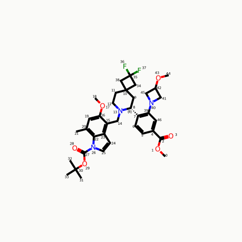 COC(=O)c1ccc([C@H]2CC3(CCN2Cc2c(OC)cc(C)c4c2ccn4C(=O)OC(C)(C)C)CC(F)(F)C3)c(N2CC(OC)C2)c1